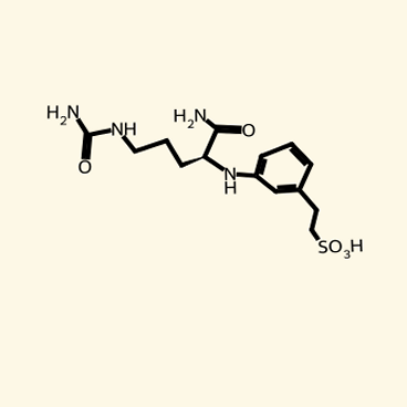 NC(=O)NCCC[C@H](Nc1cccc(CCS(=O)(=O)O)c1)C(N)=O